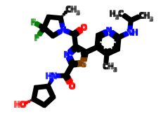 Cc1cc(NC(C)C)ncc1-c1sc(C(=O)N[C@H]2CC[C@H](O)C2)nc1C(=O)N1CC(F)(F)C[C@@H]1C